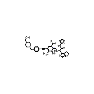 CC1=C(C#Cc2ccc(CN3CCC(CO)CC3)cc2)C=C(C(F)F)/C(=C/NC(C(=O)Nc2nccs2)c2ncn3c2CCC3)C1=N